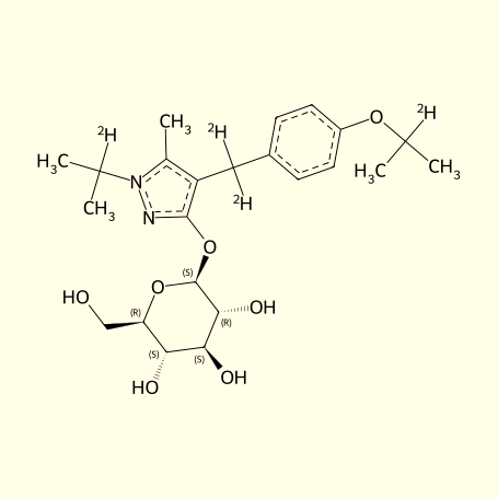 [2H]C(C)(C)Oc1ccc(C([2H])([2H])c2c(O[C@@H]3O[C@H](CO)[C@@H](O)[C@H](O)[C@H]3O)nn(C([2H])(C)C)c2C)cc1